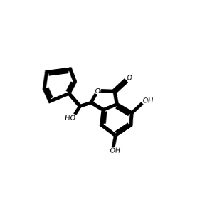 O=C1OC(C(O)c2ccccc2)c2cc(O)cc(O)c21